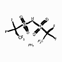 O=S(=O)(NS(=O)(=O)C(F)(F)C(F)(F)F)C(F)(F)C(F)(F)F.P